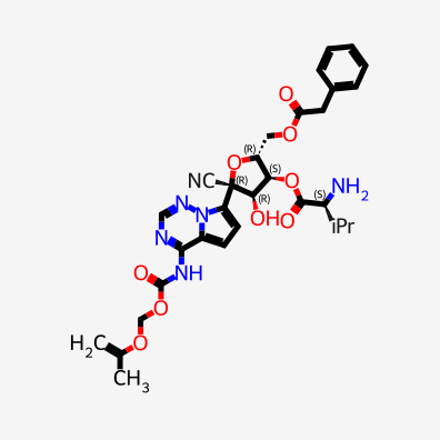 C=C(C)OCOC(=O)Nc1ncnn2c([C@]3(C#N)O[C@H](COC(=O)Cc4ccccc4)[C@@H](OC(=O)[C@@H](N)C(C)C)[C@H]3O)ccc12